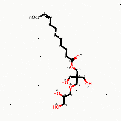 CCCCCCCC/C=C\CCCCCCCC(=O)OCC(CO)(CO)COCC(O)CO